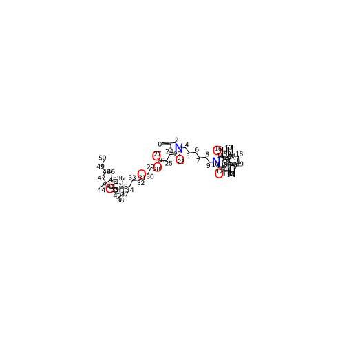 C#CCN(CCCCCCN1C(=O)[C@@H]2[C@H](C1=O)[C@H]1C=C[C@@H]2C1)C(=O)CCC(=O)OCCOCCCC(C)(CC)[Si](C)(C)OC(C)(CC)CCCC